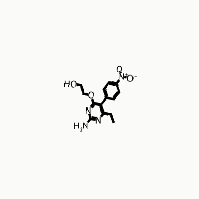 CCc1nc(N)nc(OCCO)c1-c1ccc([N+](=O)[O-])cc1